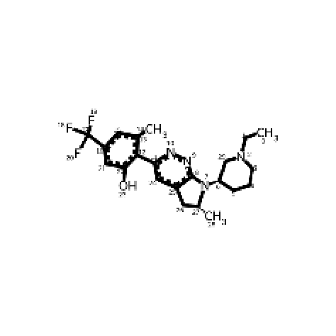 CCN1CCC[C@@H](N2c3nnc(-c4c(C)cc(C(F)(F)F)cc4O)cc3C[C@H]2C)C1